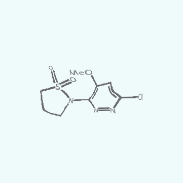 COc1cc(Cl)nnc1N1CCCS1(=O)=O